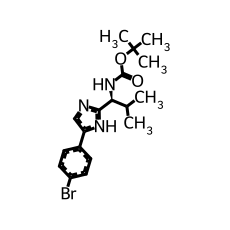 CC(C)[C@H](NC(=O)OC(C)(C)C)c1ncc(-c2ccc(Br)cc2)[nH]1